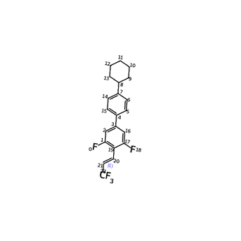 Fc1cc(-c2ccc(C3CCCCC3)cc2)cc(F)c1/C=C/C(F)(F)F